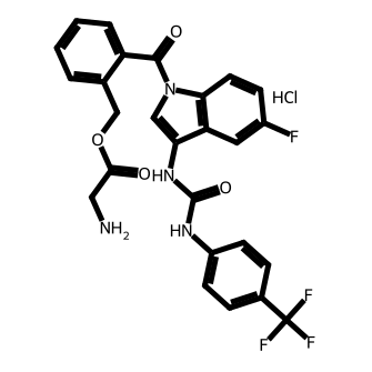 Cl.NCC(=O)OCc1ccccc1C(=O)n1cc(NC(=O)Nc2ccc(C(F)(F)F)cc2)c2cc(F)ccc21